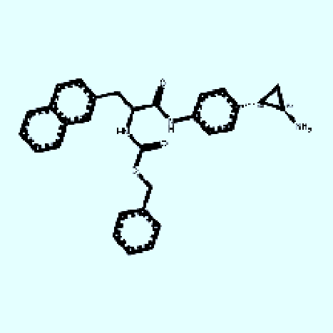 N[C@@H]1C[C@H]1c1ccc(NC(=O)C(Cc2ccc3ccccc3c2)NC(=O)OCc2ccccc2)cc1